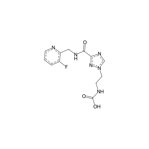 O=C(O)NCCn1cnc(C(=O)NCc2ncccc2F)n1